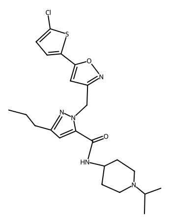 CCCc1cc(C(=O)NC2CCN(C(C)C)CC2)n(Cc2cc(-c3ccc(Cl)s3)on2)n1